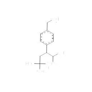 CC(C)C(CC(C)(C)C)c1ccc(CO)cc1